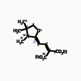 CCOC(=O)C(=C/C=C1\OCC(C)(C)N1C)C(=O)OCC